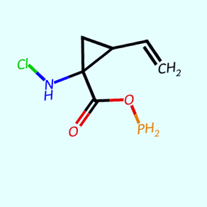 C=CC1CC1(NCl)C(=O)OP